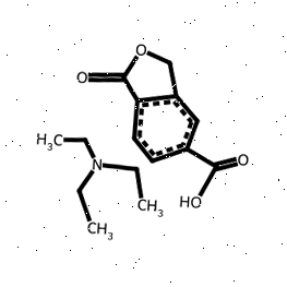 CCN(CC)CC.O=C(O)c1ccc2c(c1)COC2=O